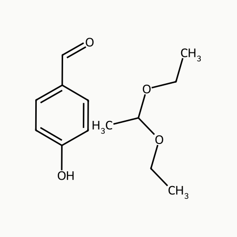 CCOC(C)OCC.O=Cc1ccc(O)cc1